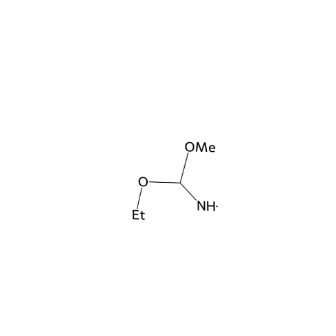 CCOC([NH])OC